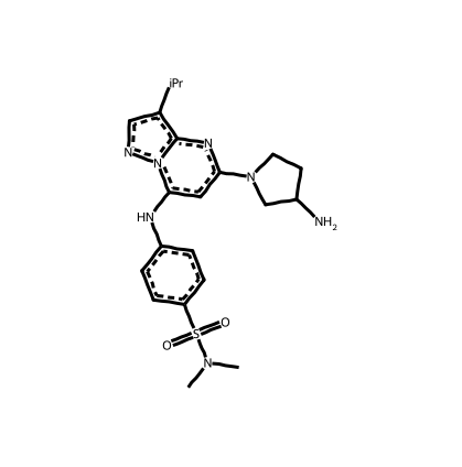 CC(C)c1cnn2c(Nc3ccc(S(=O)(=O)N(C)C)cc3)cc(N3CCC(N)C3)nc12